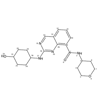 O=C(NC1CCOCC1)c1cccc2cnc(NC3CCC(O)CC3)nc12